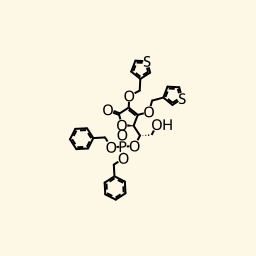 O=C1O[C@H]([C@H](CO)OP(=O)(OCc2ccccc2)OCc2ccccc2)C(OCc2ccsc2)=C1OCc1ccsc1